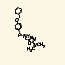 CN(C)c1nnc(CN[C@@H]2C[C@H]2c2ccc(OCc3ccccc3)cc2)o1